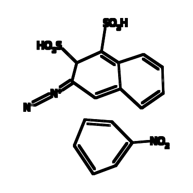 O=[N+]([O-])c1ccccc1.[N-]=[N+]=C1C=c2ccccc2=C(S(=O)(=O)O)C1S(=O)(=O)O